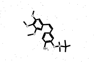 COc1cc(/C=C\c2ccc(N)c(O[Si](C)(C)C(C)(C)C)c2)cc(OC)c1OC